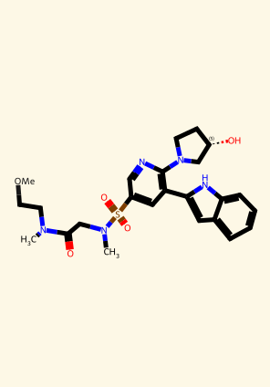 COCCN(C)C(=O)CN(C)S(=O)(=O)c1cnc(N2CC[C@H](O)C2)c(-c2cc3ccccc3[nH]2)c1